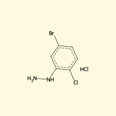 Cl.NNc1cc(Br)ccc1Cl